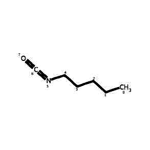 CCCC[CH]N=C=O